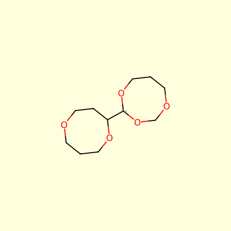 C1COCO[C](C2CCOCCCO2)OC1